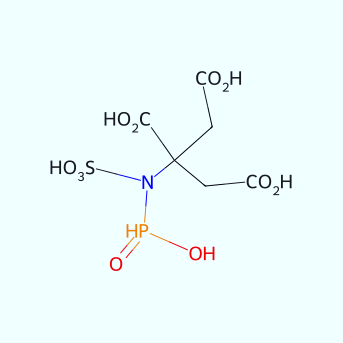 O=C(O)CC(CC(=O)O)(C(=O)O)N([PH](=O)O)S(=O)(=O)O